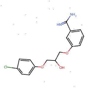 N=C(N)c1cccc(OCC(O)COc2ccc(Cl)cc2)c1